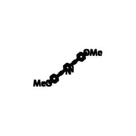 COc1ccc(C#Cc2ccc(C#Cc3ccc(OC)cc3)nn2)cc1